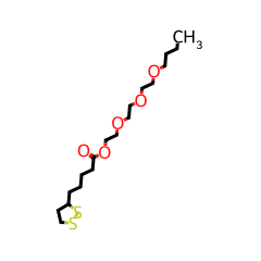 CCCCOCCOCCOCCOC(=O)CCCCC1CCSS1